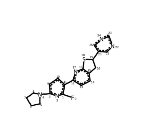 Fc1nc(N2CCCC2)ccc1-c1ccc2c(n1)SC(c1cncnc1)C2